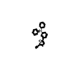 C#Cc1ccc(-c2cccc(N(c3ccccc3)c3ccccc3)c2)s1